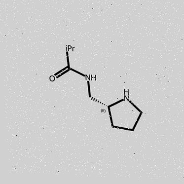 CC(C)C(=O)NC[C@H]1CCCN1